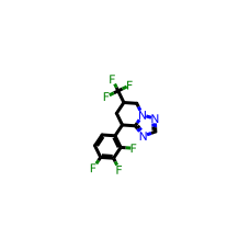 Fc1ccc(C2CC(C(F)(F)F)Cn3ncnc32)c(F)c1F